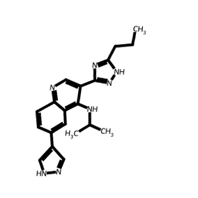 CCCc1nc(-c2cnc3ccc(-c4cn[nH]c4)cc3c2NC(C)C)n[nH]1